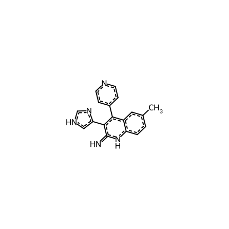 Cc1ccc2[nH]c(=N)c(-c3c[nH]cn3)c(-c3ccncc3)c2c1